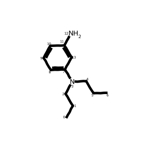 CCCN(CCC)c1cccc(N)c1